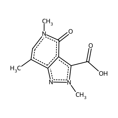 Cc1cn(C)c(=O)c2c(C(=O)O)n(C)nc12